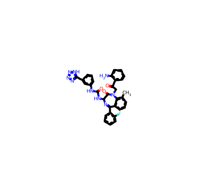 Cc1cccc2c1N(CC(=O)c1ccccc1N)C(=O)C(NC(=O)Nc1cccc(-c3nnn[nH]3)c1)N=C2c1ccccc1F